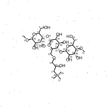 CO[C@H]1OC(CO)[C@H](O[C@H]2OC(COCC(O)C[N+](C)(C)C)[C@@H](O[C@H]3OC(CO)[C@@H](OC)[C@H](O)C3O)[C@H](O)C2O)[C@H](O)C1O